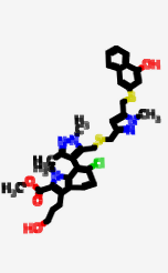 COC(=O)c1c(CCCO)c2ccc(Cl)c(-c3c(C)nn(C)c3CSCc3cc(CSc4cc(O)c5ccccc5c4)n(C)n3)c2n1C